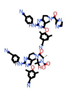 Cc1cc(C#N)cc(C)c1Oc1nc(Nc2ccc(C#N)cc2)nc2c1CN(C(=O)[C@H](C)N(C(=O)O)C(C)(C)C)CC2.Cc1cc(C#N)cc(C)c1Oc1nc(Nc2ccc(C#N)cc2)nc2c1CN(C(=O)c1cnccn1)CC2